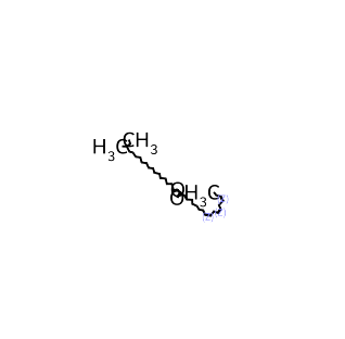 CC/C=C\C/C=C\C/C=C\CCCCCCCC(=O)OCCCCCCCCCCCCCCCC(C)CC